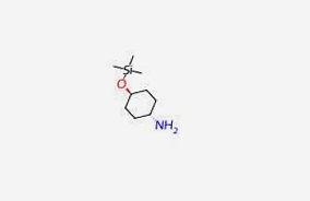 C[Si](C)(C)O[C@H]1CC[C@H](N)CC1